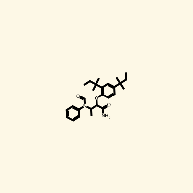 CCC(C)(C)c1ccc(OC(C(N)=O)C(C)N(C=O)c2ccccc2)c(C(C)(C)CC)c1